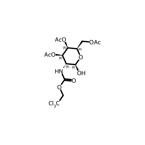 CC(=O)OC[C@H]1O[C@@H](O)[C@H](NC(=O)OCC(Cl)(Cl)Cl)[C@@H](OC(C)=O)[C@H]1OC(C)=O